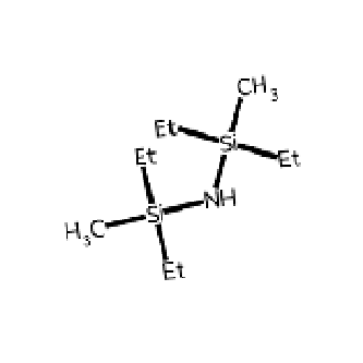 CC[Si](C)(CC)N[Si](C)(CC)CC